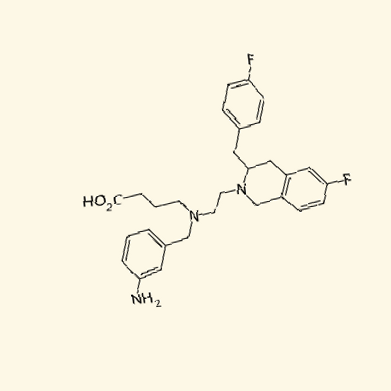 Nc1cccc(CN(CCCC(=O)O)CCN2Cc3ccc(F)cc3CC2Cc2ccc(F)cc2)c1